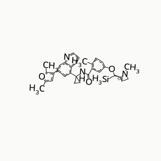 Cc1cc(-c2cc(C3(NC(=O)c4cc(OC([SiH3])[C@@H]5CCN5C)ccc4C)CC3)c3cccnc3c2)c(C)o1